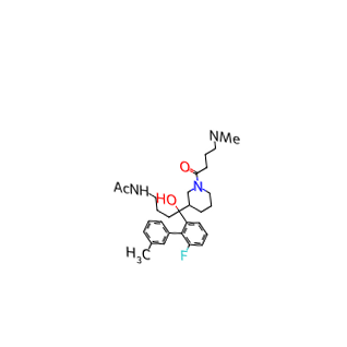 CNCCCC(=O)N1CCCC(C(O)(CCCNC(C)=O)c2cccc(F)c2-c2cccc(C)c2)C1